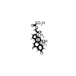 CC12C[C@H](O)[C@@]3(F)C(C[C@H](F)C4=CC(=O)C=C[C@@]43C)C1CC[C@@H]2C(=O)COC(=O)C(=O)O